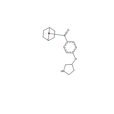 O=C(c1ccc(OC2CCNC2)cc1)N1CC2CCC(CC2)C1